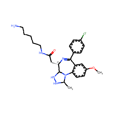 COc1ccc2c(c1)C(c1ccc(Cl)cc1)=N[C@@H](CC(=O)NCCCCCN)C1NNC(C)N21